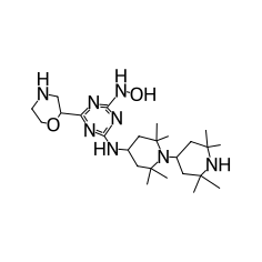 CC1(C)CC(N2C(C)(C)CC(Nc3nc(NO)nc(C4CNCCO4)n3)CC2(C)C)CC(C)(C)N1